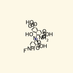 Nc1c(S(=O)(=O)O)cc2cc(S(=O)(=O)O)cc(O)c2c1/N=N/c1ccc(NCF)cc1S(=O)(=O)O